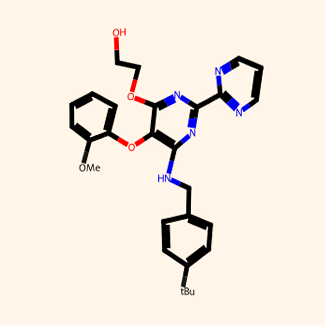 COc1ccccc1Oc1c(NCc2ccc(C(C)(C)C)cc2)nc(-c2ncccn2)nc1OCCO